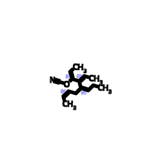 C/C=C\CC(=C/CC)/C(=C\C)C(=C\C)/OC#N